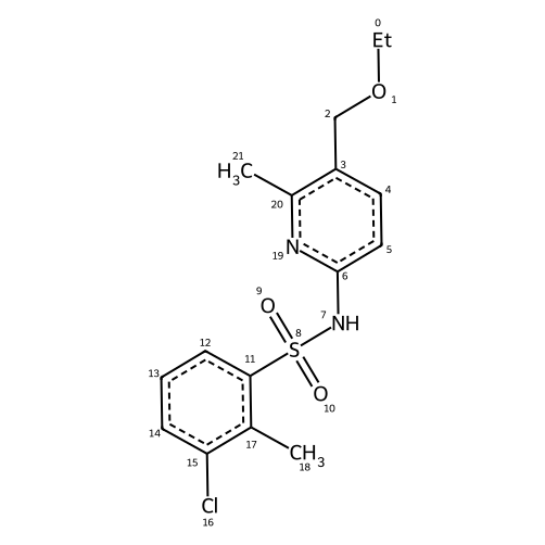 CCOCc1ccc(NS(=O)(=O)c2cccc(Cl)c2C)nc1C